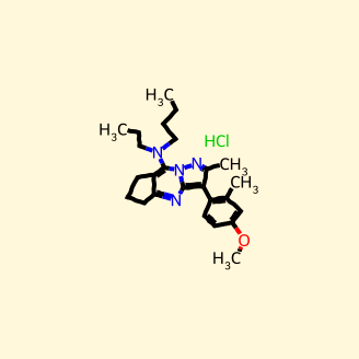 CCCCN(CCC)c1c2c(nc3c(-c4ccc(OC)cc4C)c(C)nn13)CCC2.Cl